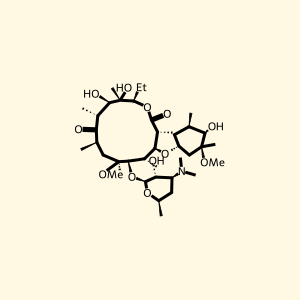 CC[C@H]1OC(=O)[C@H](C)[C@@H](O[C@@H]2C[C@@H](C)[C@H](O)[C@@](C)(OC)C2)[C@H](C)[C@@H](O[C@@H]2O[C@H](C)C[C@H](N(C)C)[C@H]2O)[C@](C)(OC)C[C@@H](C)C(=O)[C@H](C)[C@@H](O)[C@]1(C)O